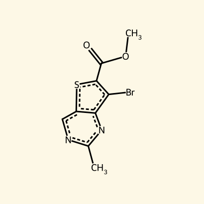 COC(=O)c1sc2cnc(C)nc2c1Br